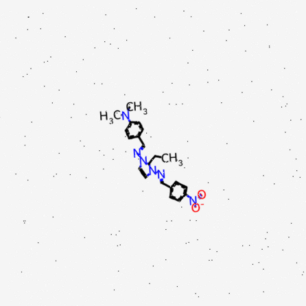 CCC1N(N=Cc2ccc(N(C)C)cc2)C=CN1N=Cc1ccc([N+](=O)[O-])cc1